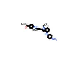 CNC(=O)c1ccc(NCC#Cc2cc3c(NC4CCC(N)CC4)cccc3n2CC(F)(F)F)c(OC)c1